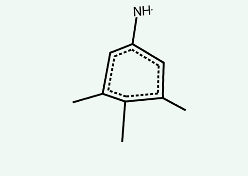 Cc1cc([NH])cc(C)c1C